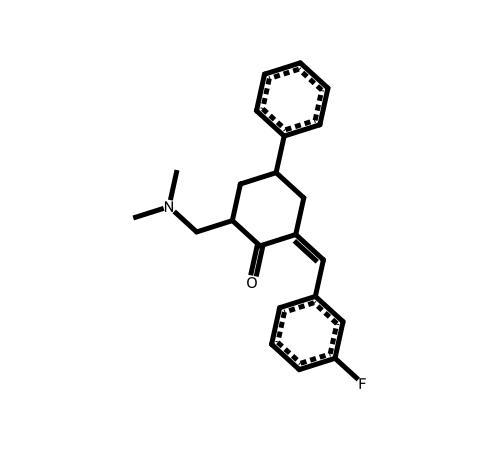 CN(C)CC1CC(c2ccccc2)CC(=Cc2cccc(F)c2)C1=O